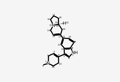 CN1CC=C(c2c[nH]c3ccc(C4=CCN5CCC[C@H]5C4)cc23)CC1